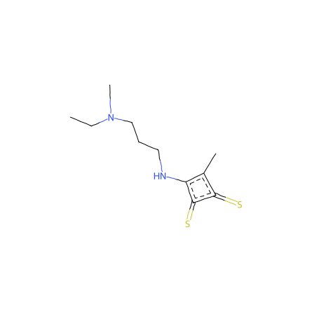 CCN(C)CCCNc1c(C)c(=S)c1=S